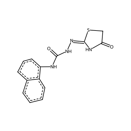 O=C1CSC(=NNC(=O)Nc2cccc3ccccc23)N1